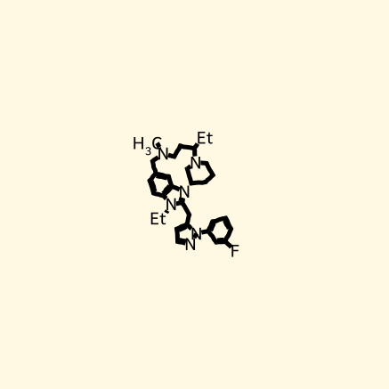 CCC(CCN(C)Cc1ccc2c(c1)nc(Cc1ccnn1-c1cccc(F)c1)n2CC)N1CCCCC1